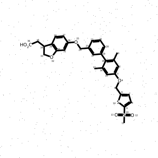 Cc1cc(OCc2ccc(S(C)(=O)=O)s2)cc(C)c1-c1cccc(COc2ccc3c(c2)OCC3CC(=O)O)c1